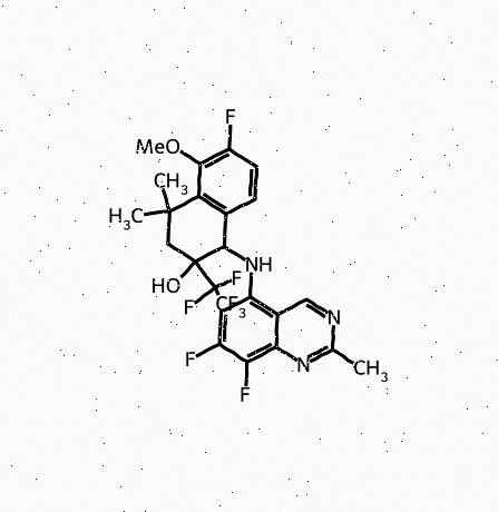 COc1c(F)ccc2c1C(C)(C)CC(O)(C(F)(F)C(F)(F)F)C2Nc1cc(F)c(F)c2nc(C)ncc12